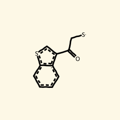 O=C(C[S])c1csc2ccccc12